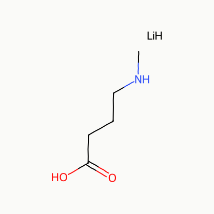 CNCCCC(=O)O.[LiH]